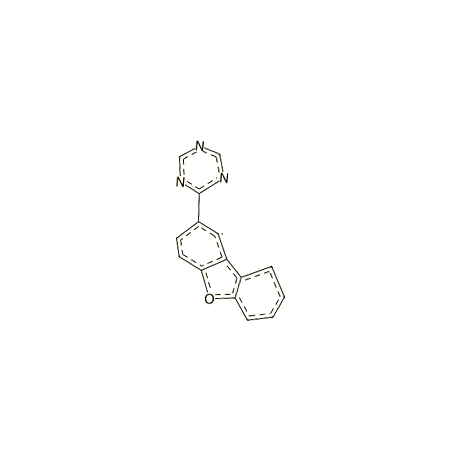 [c]1c(-c2ncncn2)ccc2oc3ccccc3c12